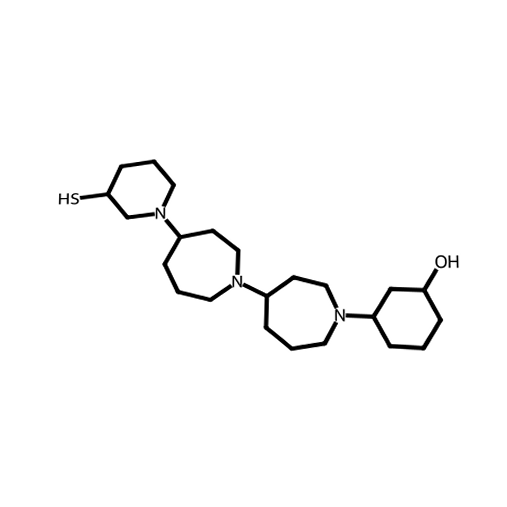 OC1CCCC(N2CCCC(N3CCCC(N4CCCC(S)C4)CC3)CC2)C1